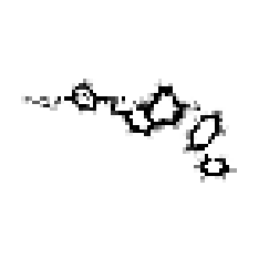 O=C(O)C12CCC(NCc3ccc4cc(O[C@H]5CC[C@@H](c6ccccc6)CC5)ccc4n3)(CC1)CC2